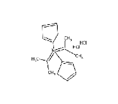 C[C](C)=[Ti]([C]1=CC=CC1)([C]1=CC=CC1)=[C](C)C.Cl.Cl